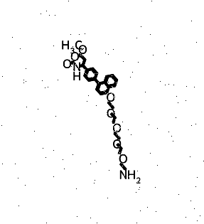 COC(=O)CC(NC=O)c1ccc(-c2ccc(OCCOCCOCCOCCOCCN)c3ccccc23)cc1